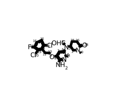 CN1CC(N(C=O)c2cc(OCCc3c(Cl)ccc(F)c3Cl)c(N)nn2)CCC1=O